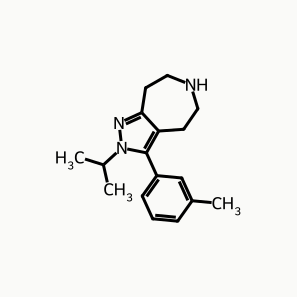 Cc1cccc(-c2c3c(nn2C(C)C)CCNCC3)c1